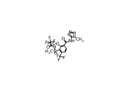 COc1c(C(=O)Nc2nnnn2C)ccc(C(F)(F)F)c1S(C)(=O)=NC(=O)C(F)(F)F